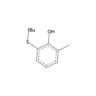 Cc1cccc(SC(C)(C)C)c1O